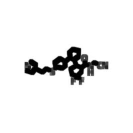 N#CCNC(=O)C1CC(F)(F)CCC1c1ccccc1-c1ccc(SCCc2ccncc2)cc1